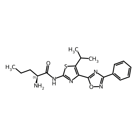 CCC[C@H](N)C(=O)Nc1nc(-c2nc(-c3ccccc3)no2)c(C(C)C)s1